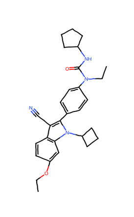 CCOc1ccc2c(C#N)c(-c3ccc(N(CC)C(=O)NC4CCCC4)cc3)n(C3CCC3)c2c1